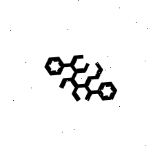 C=CC(=C(C=C)/C(=C/C)C(=C\C)/c1ccccc1)/C(=C/C=C\C)C(=C)c1ccccc1